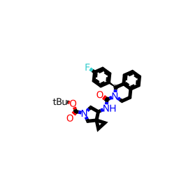 CC(C)(C)OC(=O)N1CC(NC(=O)N2CCc3ccccc3[C@@H]2c2ccc(F)cc2)C2(CC2)C1